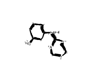 Oc1cccc(Nc2ncncn2)c1